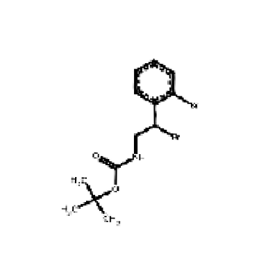 CC(C)(C)OC(=O)NCC(Br)c1ccccc1Br